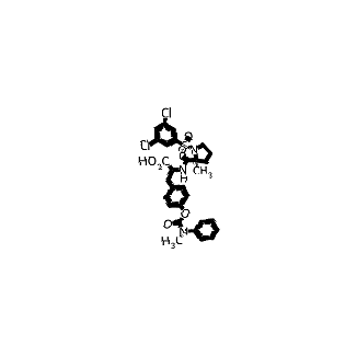 CN(C(=O)Oc1ccc(CC(NC(=O)[C@]2(C)CCCN2S(=O)(=O)c2cc(Cl)cc(Cl)c2)C(=O)O)cc1)c1ccccc1